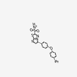 CC(C)c1ccc(Oc2ccc(-c3cnc4sc(S(N)(=O)=O)nn34)cc2)cc1